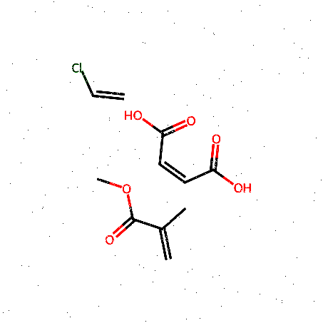 C=C(C)C(=O)OC.C=CCl.O=C(O)/C=C\C(=O)O